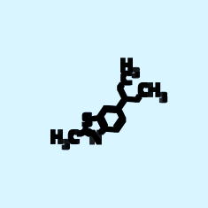 CCC(CC)c1ccc2nc(C)sc2c1